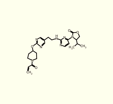 C=CC(=O)N1CCC(Oc2ncc(CCNc3nccc(N4C(=O)OCC4C(C)C)n3)cn2)CC1